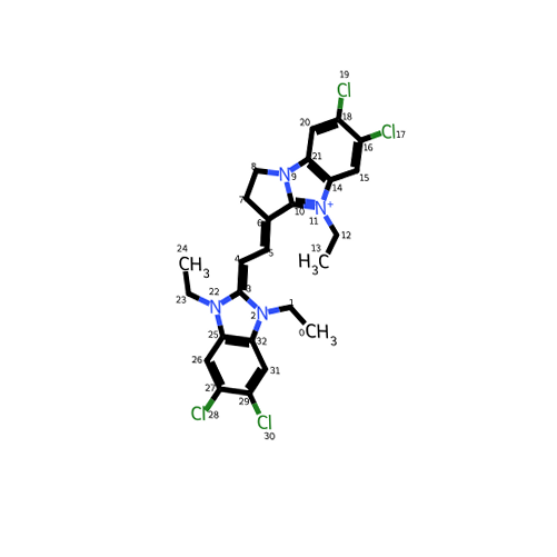 CCN1C(=CC=C2CCn3c2[n+](CC)c2cc(Cl)c(Cl)cc23)N(CC)c2cc(Cl)c(Cl)cc21